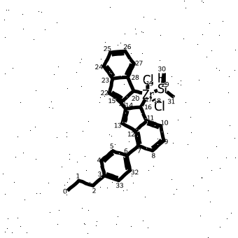 CCCc1ccc(-c2cccc3c2C=C(C)[CH]3[Zr]([Cl])([Cl])([CH]2C=Cc3ccccc32)[SiH](C)C)cc1